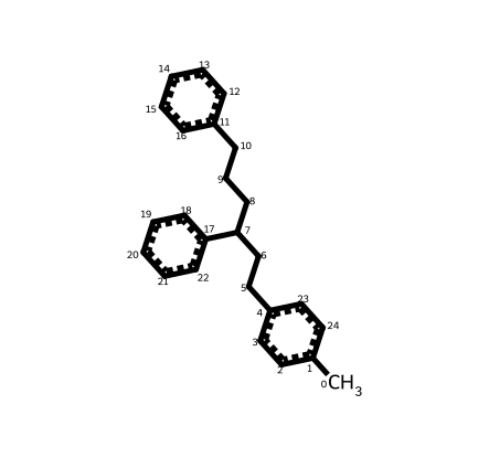 Cc1ccc(CCC(CCCc2ccccc2)c2ccccc2)cc1